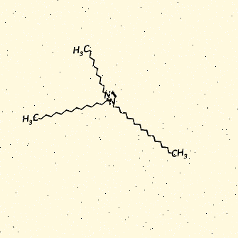 CCCCCCCCCCCCCCCCCCn1cc[n+](CCCCCCCCCCC)c1CCCCCCCCCCCCCC